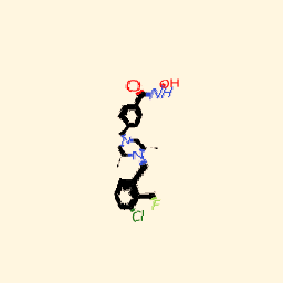 C[C@@H]1CN(Cc2ccc(C(=O)NO)cc2)C[C@H](C)N1Cc1cccc(Cl)c1CF